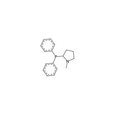 CN1CCCC1P(c1ccccc1)c1ccccc1